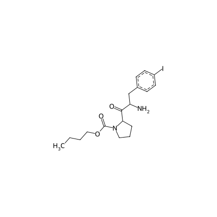 CCCCOC(=O)N1CCCC1C(=O)C(N)Cc1ccc(I)cc1